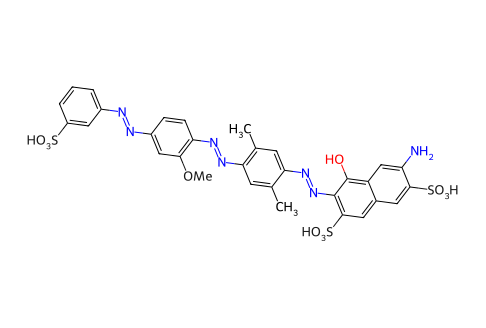 COc1cc(N=Nc2cccc(S(=O)(=O)O)c2)ccc1N=Nc1cc(C)c(N=Nc2c(S(=O)(=O)O)cc3cc(S(=O)(=O)O)c(N)cc3c2O)cc1C